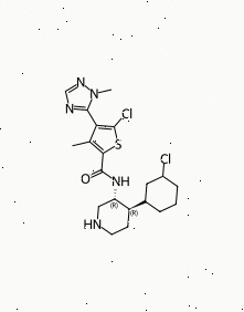 Cc1c(C(=O)N[C@H]2CNCC[C@@H]2C2CCCC(Cl)C2)sc(Cl)c1-c1ncnn1C